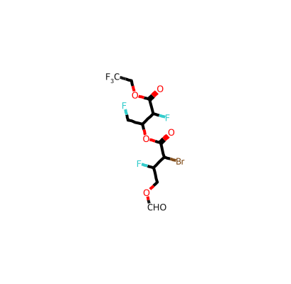 O=COCC(F)C(Br)C(=O)OC(CF)C(F)C(=O)OCC(F)(F)F